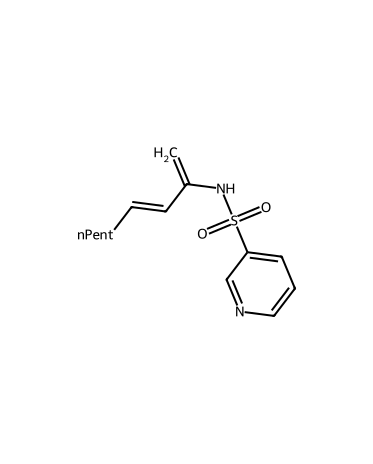 C=C(C=CCCCCC)NS(=O)(=O)c1cccnc1